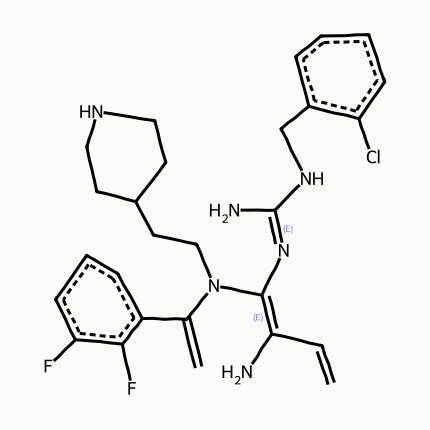 C=C/C(N)=C(\N=C(/N)NCc1ccccc1Cl)N(CCC1CCNCC1)C(=C)c1cccc(F)c1F